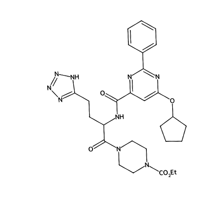 CCOC(=O)N1CCN(C(=O)C(CCc2nnn[nH]2)NC(=O)c2cc(OC3CCCC3)nc(-c3ccccc3)n2)CC1